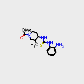 COC(=O)N1CCC(NC(=S)Nc2ccccc2N)C(C)C1